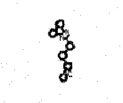 c1cc(-c2cccc(-c3cnc4c5ccccc5c5ccccc5c4n3)c2)cc(-c2ccc3oc4ccccc4c3c2)c1